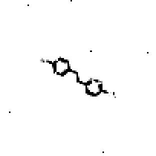 Cc1ccc(CCc2ccc(C(C)(C)C)cc2)nn1